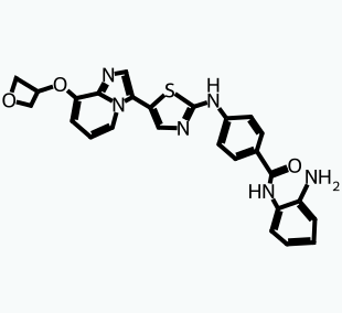 Nc1ccccc1NC(=O)c1ccc(Nc2ncc(-c3cnc4c(OC5COC5)cccn34)s2)cc1